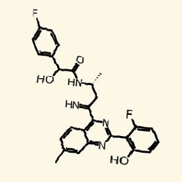 Cc1ccc2c(C(=N)C[C@@H](C)NC(=O)C(O)c3ccc(F)cc3)nc(-c3c(O)cccc3F)nc2c1